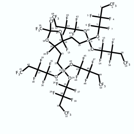 FC(F)(F)CC(F)(F)C(F)(F)O[Si](CCC1(F)OC(C(F)(F)F)(C(F)(F)F)OC1(F)CC[Si](OC(F)(F)C(F)(F)CC(F)(F)F)(OC(F)(F)C(F)(F)CC(F)(F)F)OC(F)(F)C(F)(F)CC(F)(F)F)(OC(F)(F)C(F)(F)CC(F)(F)F)OC(F)(F)C(F)(F)CC(F)(F)F